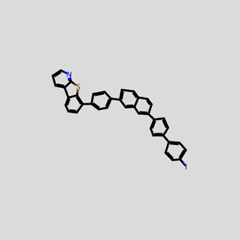 Ic1ccc(-c2ccc(-c3ccc4ccc(-c5ccc(-c6cccc7c6sc6ncccc67)cc5)cc4c3)cc2)cc1